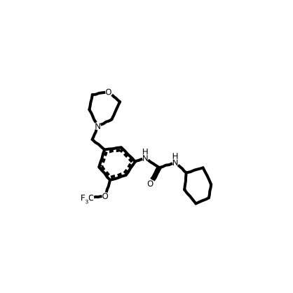 O=C(Nc1cc(CN2CCOCC2)cc(OC(F)(F)F)c1)NC1CCCCC1